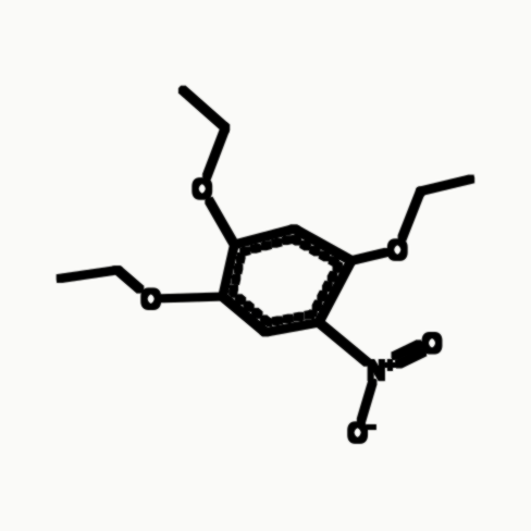 CCOc1cc(OCC)c([N+](=O)[O-])cc1OCC